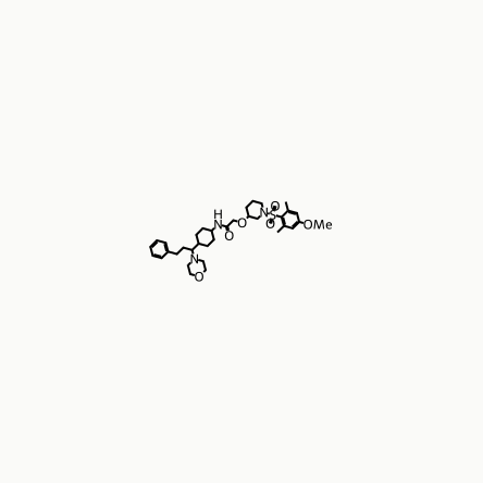 COc1cc(C)c(S(=O)(=O)N2CCCC(OCC(=O)NC3CCC(C(CCc4ccccc4)N4CCOCC4)CC3)C2)c(C)c1